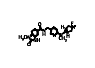 CN(c1ccc(CNC(=O)c2ccc3c(c2)[nH]c(=O)n3C)cn1)C1[C@H]2CC(F)(F)C[C@@H]12